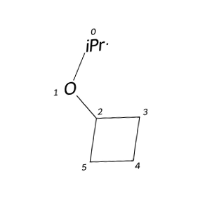 C[C](C)OC1CCC1